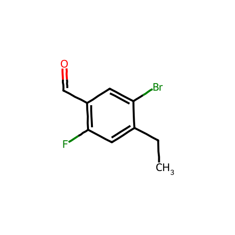 CCc1cc(F)c(C=O)cc1Br